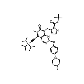 Cc1c(C#C[Si](C(C)C)(C(C)C)C(C)C)c2cnc(Nc3ccc(N4CCN(C)CC4)cc3)nc2n(Cc2ccnn2C(=O)OC(C)(C)C)c1=O